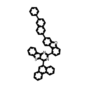 c1ccc(-c2ccc3cc(-c4ccc5c(c4)oc4cccc(-c6nc(-c7cc8ccccc8c8ccccc78)c7sc8ccccc8c7n6)c45)ccc3c2)cc1